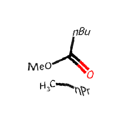 CCCC.CCCCC(=O)OC